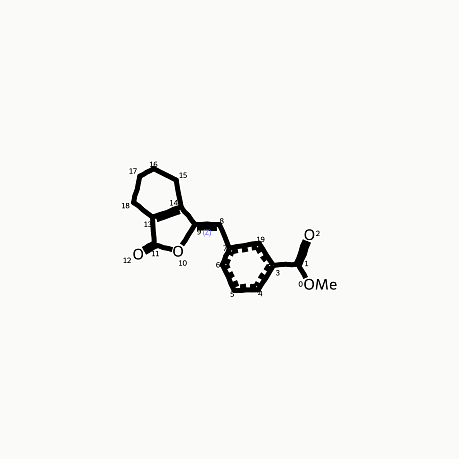 COC(=O)c1cccc(/C=C2\OC(=O)C3=C2CCCC3)c1